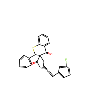 COC(=O)C1(CC=C=Cc2cccc(F)c2)C(=O)c2ccccc2SC1c1ccccc1